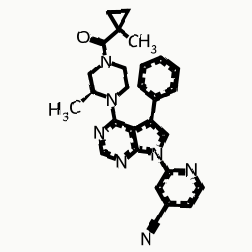 C[C@H]1CN(C(=O)C2(C)CC2)CCN1c1ncnc2c1c(-c1ccccc1)cn2-c1cc(C#N)ccn1